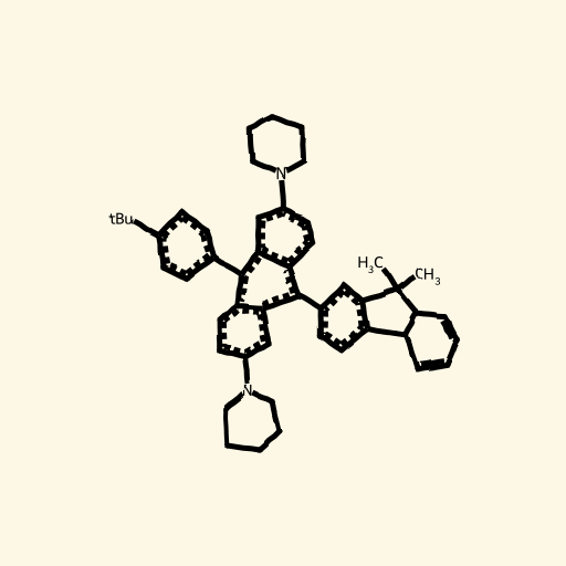 CC(C)(C)c1ccc(-c2c3ccc(N4CCCCC4)cc3c(-c3ccc4c(c3)C(C)(C)C3C=CC=CC43)c3ccc(N4CCCCC4)cc23)cc1